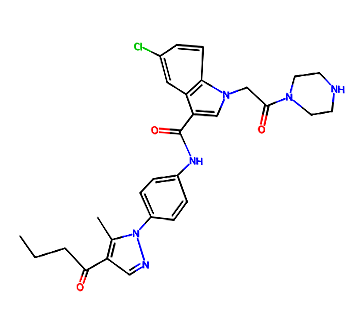 CCCC(=O)c1cnn(-c2ccc(NC(=O)c3cn(CC(=O)N4CCNCC4)c4ccc(Cl)cc34)cc2)c1C